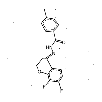 Cc1ccc(C(=O)NN=C2CCOc3c2ccc(F)c3F)cc1